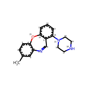 Cc1ccc2c(c1)N=Cc1c(cccc1N1CCNCC1)O2